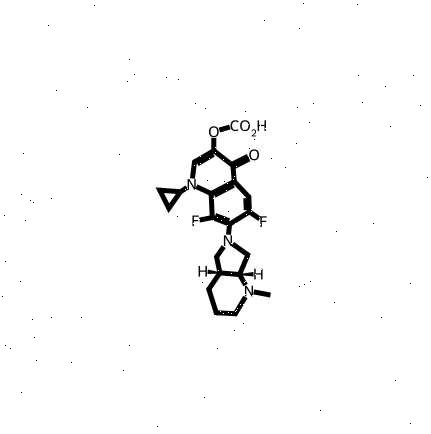 CN1CCC[C@@H]2CN(c3c(F)cc4c(=O)c(OC(=O)O)cn(C5CC5)c4c3F)C[C@@H]21